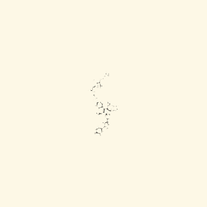 CNCCC[C@H](N)C(=O)N[C@@H](C)C(=O)OCCOc1ccc(-c2c(C#N)c(SCc3csc(-c4ccc(Cl)cc4)n3)nc(N3CCCC3)c2C#N)cc1